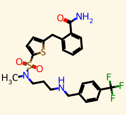 CN(CCCNCc1ccc(C(F)(F)F)cc1)S(=O)(=O)c1ccc(Cc2ccccc2C(N)=O)s1